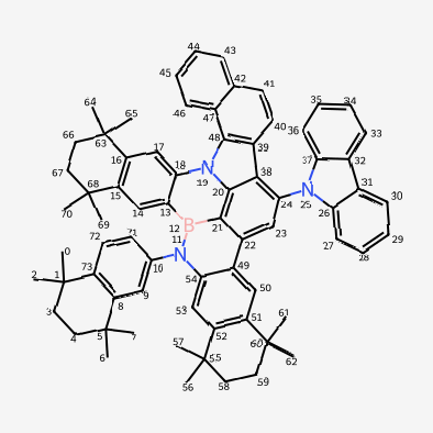 CC1(C)CCC(C)(C)c2cc(N3B4c5cc6c(cc5-n5c7c4c(cc(-n4c8ccccc8c8ccccc84)c7c4ccc7ccccc7c45)-c4cc5c(cc43)C(C)(C)CCC5(C)C)C(C)(C)CCC6(C)C)ccc21